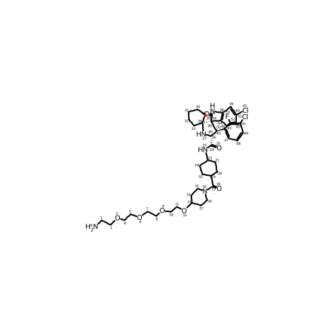 NCCOCCOCCOCCOC1CCN(C(=O)C2CCC(NC(=O)[C@@H]3NC4(CCCCC4)[C@@]4(C(=O)Nc5cc(Cl)ccc54)[C@H]3c3cccc(Cl)c3F)CC2)CC1